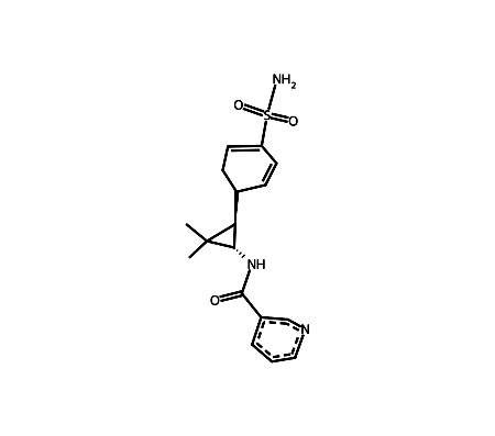 CC1(C)[C@@H](NC(=O)c2cccnc2)[C@@H]1C1C=CC(S(N)(=O)=O)=CC1